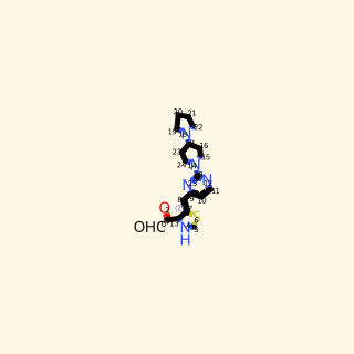 O=CC(=O)C1NCS/C1=C\c1ccnc(N2CCC(N3CCCC3)CC2)n1